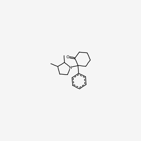 CC1CCN(C2(c3ccccc3)CCCCC2=O)C1C